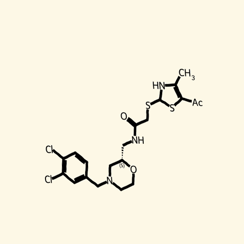 CC(=O)C1=C(C)NC(SCC(=O)NC[C@H]2CN(Cc3ccc(Cl)c(Cl)c3)CCO2)S1